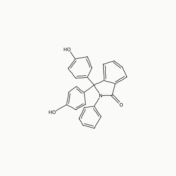 O=C1c2ccccc2C(c2ccc(O)cc2)(c2ccc(O)cc2)N1c1ccccc1